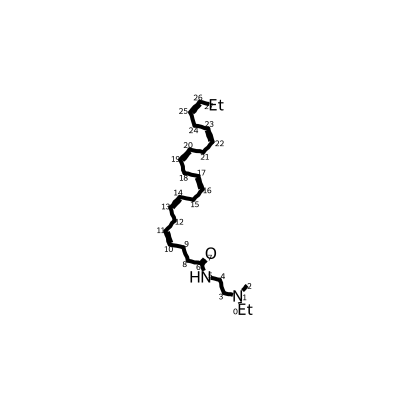 [CH2]CN(C)CCNC(=O)CC/C=C\C/C=C\C/C=C\C/C=C\C/C=C\C/C=C\CC